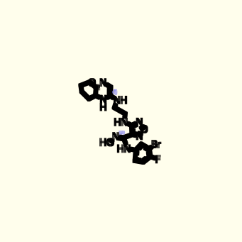 O=[N+]([O-])/C=C(/NCCNc1nonc1/C(=N/O)Nc1ccc(F)c(Br)c1)NC1CCCCC1